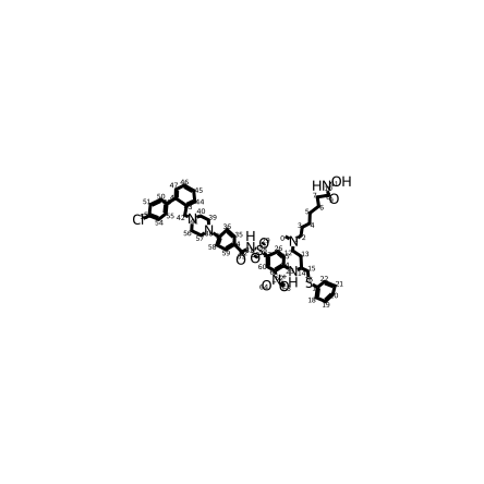 CN(CCCCCCC(=O)NO)CCC(CSc1ccccc1)Nc1ccc(S(=O)(=O)NC(=O)c2ccc(N3CCN(Cc4ccccc4-c4ccc(Cl)cc4)CC3)cc2)cc1[N+](=O)[O-]